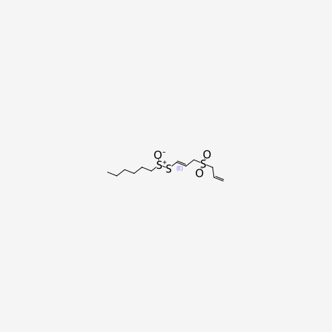 C=CCS(=O)(=O)C/C=C/S[S+]([O-])CCCCCC